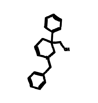 OCC1(c2ccccc2)CC=CN(Cc2ccccc2)C1